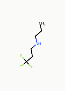 CCCNCCC(F)(F)F